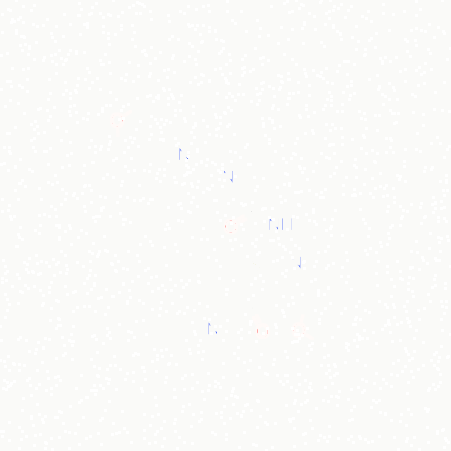 O=C(CN1CCN(C2CCOCC2)CC1)Nc1nc(-c2ccco2)c(C(=O)c2ccccn2)s1